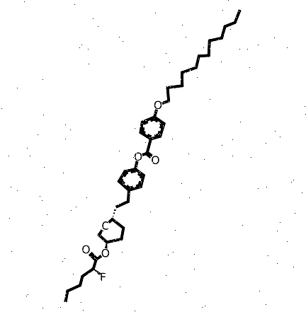 CCCCCCCCCCCCOc1ccc(C(=O)Oc2ccc(CC[C@H]3CC[C@H](OC(=O)[C@@H](F)CCCC)CC3)cc2)cc1